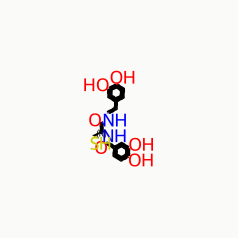 O=C(N[C@@H](CS)C(=O)NCCc1ccc(O)c(O)c1)c1ccc(O)c(O)c1